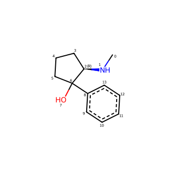 CN[C@@H]1CCCC1(O)c1ccccc1